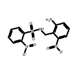 Nc1cccc([N+](=O)[O-])c1CNS(=O)(=O)c1ccccc1[N+](=O)[O-]